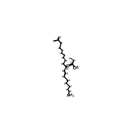 CC(C)CCCCCCCCCCCCCCCCCN.CCC(=O)O